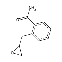 NC(=O)c1ccccc1CC1CO1